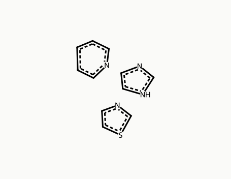 c1c[nH]cn1.c1ccncc1.c1cscn1